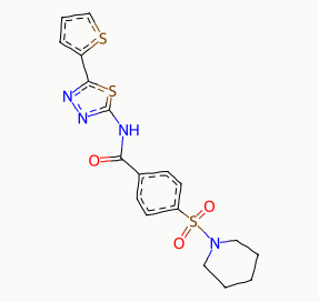 O=C(Nc1nnc(-c2cccs2)s1)c1ccc(S(=O)(=O)N2CCCCC2)cc1